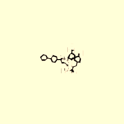 O=C(NC(Cc1ccc(Cl)cc1)C(=O)O)c1cc(-c2ccc(-c3ccccc3)cc2)nn1-c1cccc(C(F)(F)F)c1